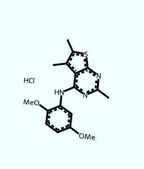 COc1ccc(OC)c(Nc2nc(C)nc3sc(C)c(C)c23)c1.Cl